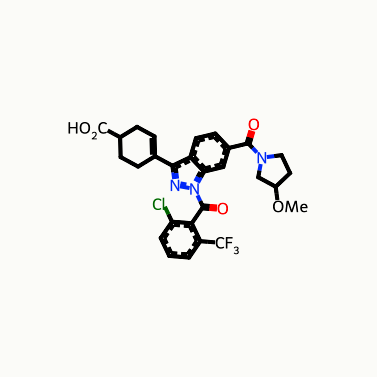 COC1CCN(C(=O)c2ccc3c(C4=CCC(C(=O)O)CC4)nn(C(=O)c4c(Cl)cccc4C(F)(F)F)c3c2)C1